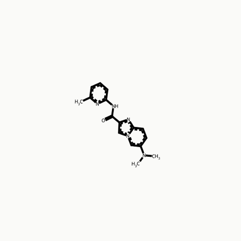 Cc1cccc(NC(=O)c2cn3cc(N(C)C)ccc3n2)n1